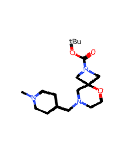 CN1CCC(CN2CCOC3(C2)CN(C(=O)OC(C)(C)C)C3)CC1